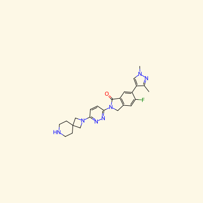 Cc1nn(C)cc1-c1cc2c(cc1F)CN(c1ccc(N3CC4(CCNCC4)C3)nn1)C2=O